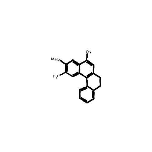 COc1cc2c(O)cc3c(c2cc1C)-c1ccccc1CC3